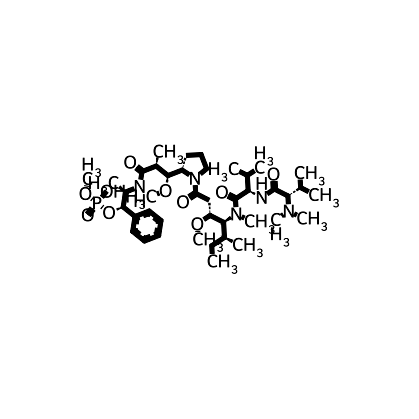 CC[C@H](C)[C@@H]([C@@H](CC(=O)N1CCC[C@H]1[C@H](OC)[C@@H](C)C(=O)N[C@H](C)[C@@H](OP(=O)(O)OC)c1ccccc1)OC)N(C)C(=O)[C@@H](NC(=O)[C@H](C(C)C)N(C)C)C(C)C